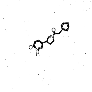 O=C(Cc1ccccc1)N1CCC(c2ccc(=O)[nH]c2)C1